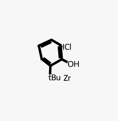 CC(C)(C)c1ccccc1O.Cl.[Zr]